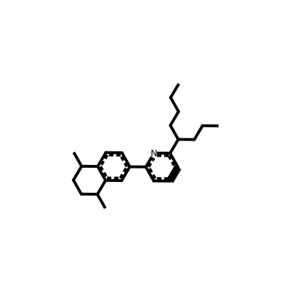 CCCCC(CCC)c1c#ccc(-c2ccc3c(c2)C(C)CCC3C)n1